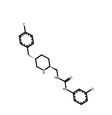 O=C(NC[C@@H]1CC[C@@H](Cc2ccc(F)cc2)CN1)Nc1cccc(Cl)c1